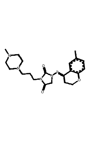 Cc1ccc2c(c1)/C(=N/N1CC(=O)N(CCCN3CCN(C)CC3)C1=O)CCO2